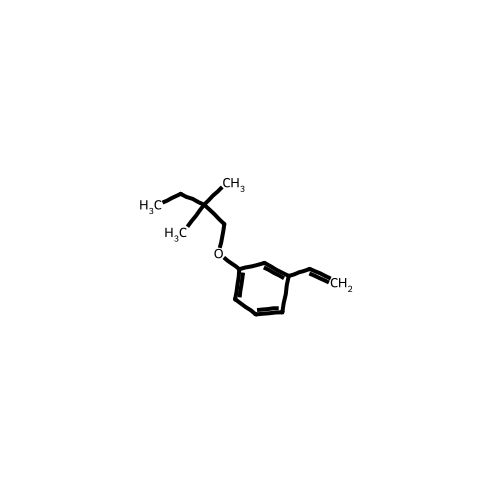 C=Cc1cccc(OCC(C)(C)CC)c1